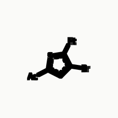 CCc1sc(C(C)=O)cc1Br